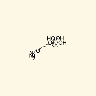 CC1O[C@@H](OCCCCCCOCc2cn(C)nn2)C(O)C(O)[C@@H]1O